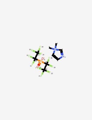 C[N+]1(C)C=CN=C1.O=P([O-])(C(F)(F)C(F)(F)F)C(F)(F)C(F)(F)F